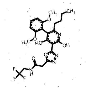 CCCCc1nc(O)c(-c2nnc(CC(=O)NCC(F)(F)F)o2)c(O)c1-c1c(OC)cccc1OC